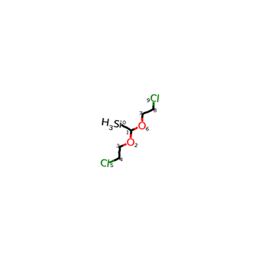 [SiH3]C(OCCCl)OCCCl